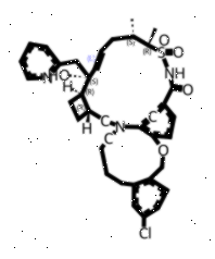 C[C@@H]1[C@@H](C)C/C=C/[C@](O)(Cc2ccccn2)[C@@H]2CC[C@H]2CN2CCCCc3cc(Cl)ccc3COc3ccc(cc32)C(=O)NS1(=O)=O